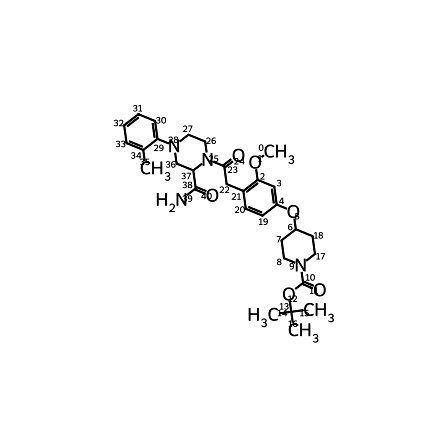 COc1cc(OC2CCN(C(=O)OC(C)(C)C)CC2)ccc1CC(=O)N1CCN(c2ccccc2C)CC1C(N)=O